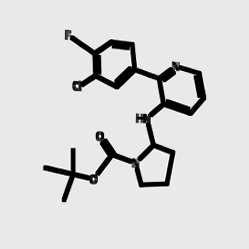 CC(C)(C)OC(=O)N1CCCC1Nc1cccnc1-c1ccc(F)c(Cl)c1